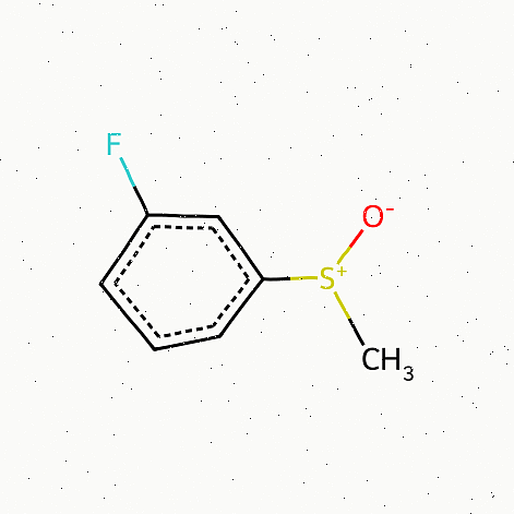 C[S+]([O-])c1cccc(F)c1